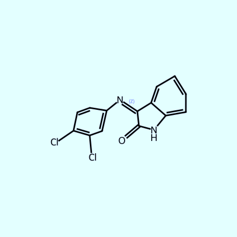 O=C1Nc2ccccc2/C1=N/c1ccc(Cl)c(Cl)c1